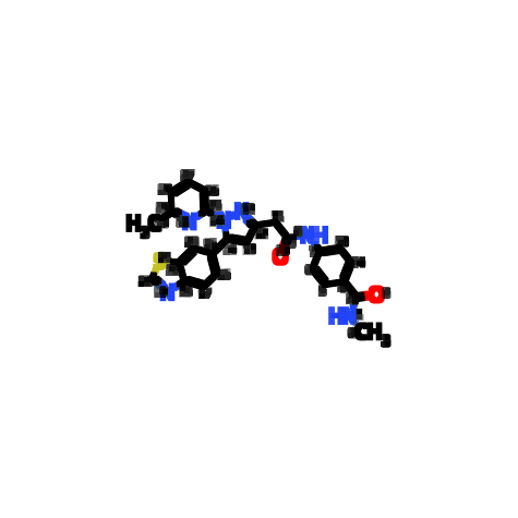 CNC(=O)c1ccc(NC(=O)Cc2cc(-c3ccc4ncsc4c3)n(-c3cccc(C)n3)n2)cc1